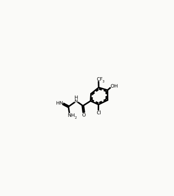 N=C(N)NC(=O)c1cc(C(F)(F)F)c(O)cc1Cl